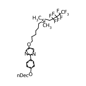 CCCCCCCCCCOc1ccc(-c2ncc(OCCCCCC[Si](C)(C)CCC(F)(F)C(F)(F)C(F)(F)C(F)(F)F)cn2)cc1